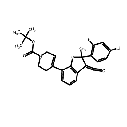 CC(C)(C)OC(=O)N1CC=C(c2cccc3c2OC(C)(c2ccc(Cl)cc2F)C3=C=O)CC1